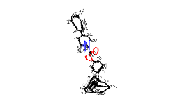 O=C(Oc1ccc(C23CC4CC(CC(C4)C2)C3)cc1)N1CCC(c2ccccc2)CC1